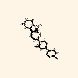 Cc1ccc(-c2ccn(-c3ccc4c5c(n(C)c4n3)CCNC5)c(=O)c2)cc1